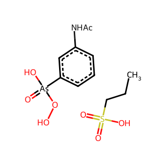 CC(=O)Nc1cccc([As](=O)(O)OO)c1.CCCS(=O)(=O)O